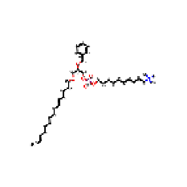 CC(C)CCCCCCCCCCCCCCOCC(COP(=O)([O-])OCCCCCCCCCC[N+](C)(C)C)OCc1ccccc1